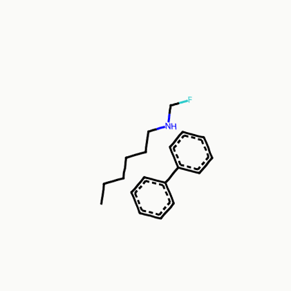 CCCCCCNCF.c1ccc(-c2ccccc2)cc1